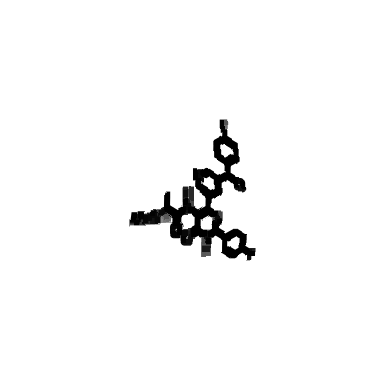 CN[C@@H](C)C(=O)Nc1c(-c2cncc(C(=O)c3ccc(F)cc3)c2)nc(-c2ccc(F)cc2)[nH]c1=O